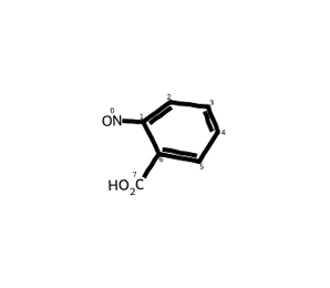 O=Nc1ccccc1C(=O)O